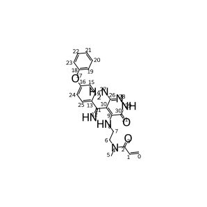 C=CC(=O)N(C)CCNc1c(C(=N)c2ccc(Oc3ccccc3)cc2)c(N)n[nH]c1=O